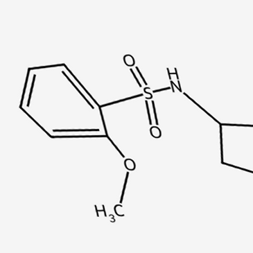 COc1ccccc1S(=O)(=O)NC1CSC1